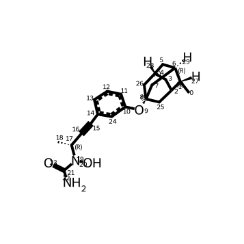 C[C@@H]1C2C[C@H]3C[C@@H]1C[C@@](Oc1cccc(C#C[C@@H](C)N(O)C(N)=O)c1)(C2)C3